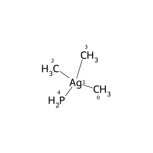 [CH3][Ag]([CH3])([CH3])[PH2]